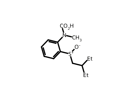 CCC(CC)C[S+]([O-])c1ccccc1N(C)C(=O)O